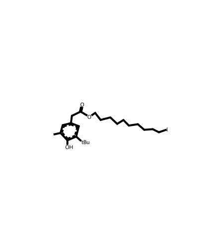 Cc1cc(CC(=O)OCCCCCCCCCCI)cc(C(C)(C)C)c1O